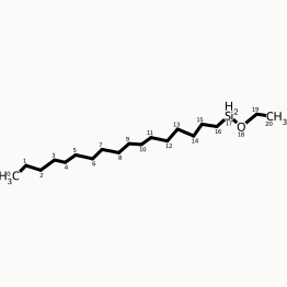 CCCCCCCCCCCCCCCCC[SiH2]OCC